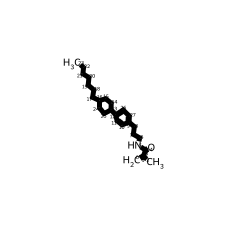 C=C(C)C(=O)NCCCc1ccc(C2CCC(CCCCCCC)CC2)cc1